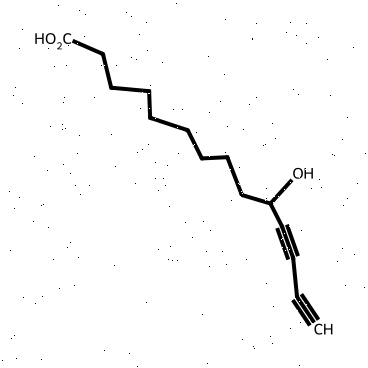 C#CC#CC(O)CCCCCCCCC(=O)O